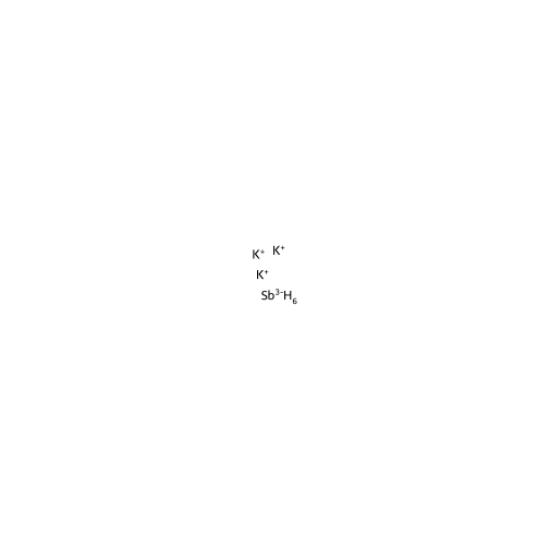 [K+].[K+].[K+].[SbH6-3]